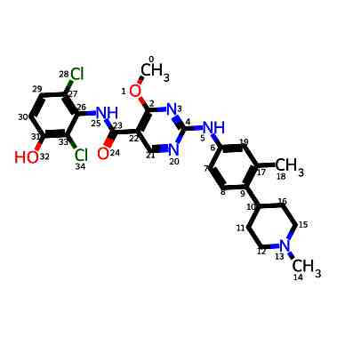 COc1nc(Nc2ccc(C3CCN(C)CC3)c(C)c2)ncc1C(=O)Nc1c(Cl)ccc(O)c1Cl